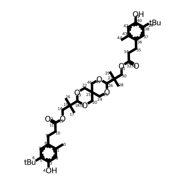 Cc1cc(O)c(C(C)(C)C)cc1CCC(=O)OCC(C)(C)C1OCC2(CO1)COC(C(C)(C)COC(=O)CCc1cc(C(C)(C)C)c(O)cc1C)OC2